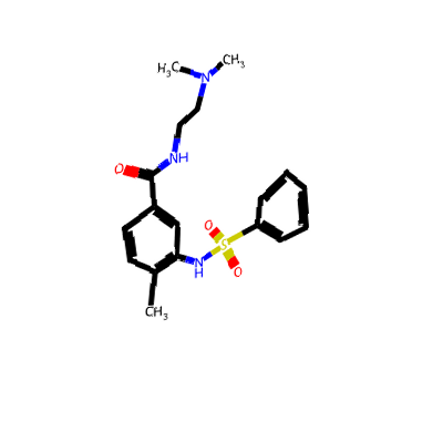 Cc1ccc(C(=O)NCCN(C)C)cc1NS(=O)(=O)c1ccccc1